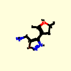 CC1=C(c2nnsc2CN)CC(C)O1